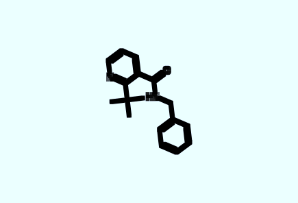 CC(C)(C)c1ncccc1C(=O)NCc1ccccc1